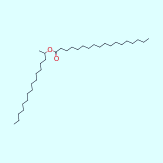 CCCCCCCCCCCCCCCCCC(=O)OC(C)CCCCCCCCCCCCCC